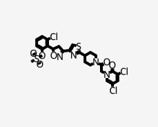 CS(=O)(=O)Oc1cccc(Cl)c1C1CC(c2csc(C3CCN(C(=O)Cn4cc(Cl)cc(Cl)c4=O)CC3)n2)=NO1